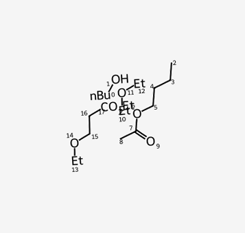 CCCCO.CCCCOC(C)=O.CCOCC.CCOCCC(=O)OCC